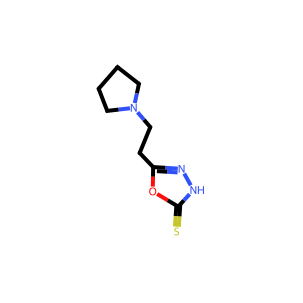 S=c1[nH]nc(CCN2CCCC2)o1